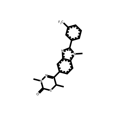 CC1SC(=O)N(C)N=C1c1ccc2c(c1)nc(-c1cccc(C(F)(F)F)c1)n2C